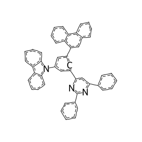 c1ccc(-c2cc(-c3cc(-c4cc5ccccc5c5ccccc45)cc(-n4c5ccccc5c5ccccc54)c3)nc(-c3ccccc3)n2)cc1